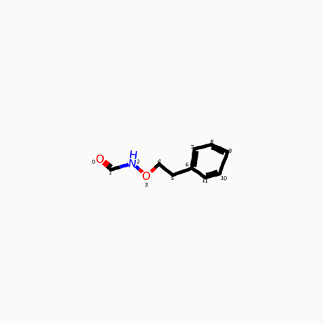 O=CNOCCc1ccccc1